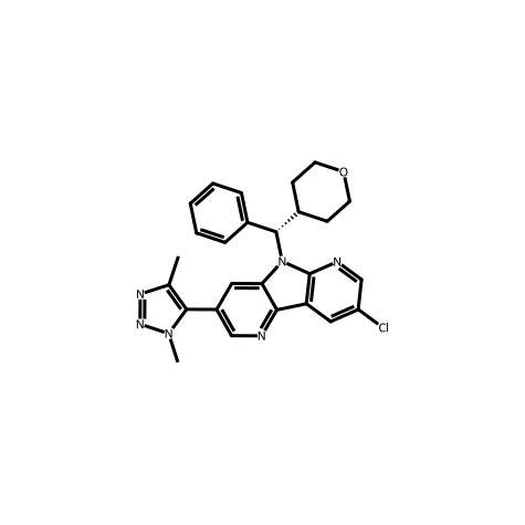 Cc1nnn(C)c1-c1cnc2c3cc(Cl)cnc3n([C@H](c3ccccc3)C3CCOCC3)c2c1